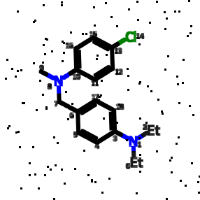 CCN(CC)c1ccc(CN(C)c2ccc(Cl)cc2)cc1